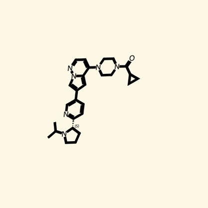 CC(C)N1CCC[C@H]1c1ccc(-c2cc3c(N4CCN(C(=O)C5CC5)CC4)ccnn3c2)cn1